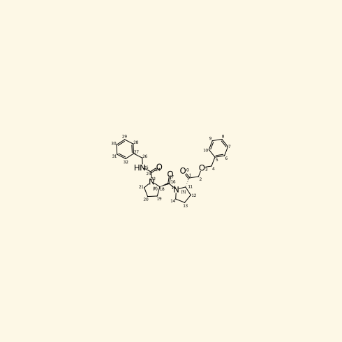 O=C(COCc1ccccc1)[C@@H]1CCCN1C(=O)[C@H]1CCCN1C(=O)NCc1ccccc1